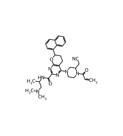 C=CC(=O)N1CCN(c2nc(C(=O)NC(C)CN(C)C)nc3c2CCC(c2cccc4ccccc24)O3)CC1CC#N